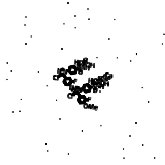 COc1ccc(-c2c(Cl)ncn2-c2ccc(S(=O)(=O)NP(=O)(O)O)cc2)cc1F.COc1ccc(-c2c(Cl)ncn2-c2ccc(S(=O)(=O)NP(=O)(O)O)cc2)cc1F.[Ca].[Ca].[Ca]